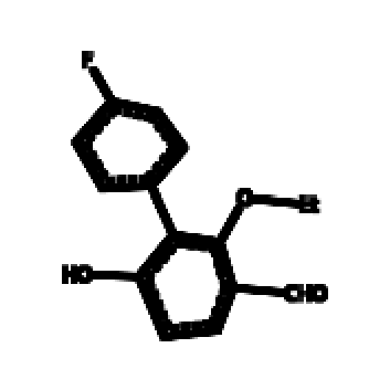 CCOc1c(C=O)ccc(O)c1-c1ccc(F)cc1